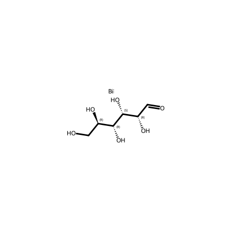 O=C[C@H](O)[C@@H](O)[C@H](O)[C@H](O)CO.[Bi]